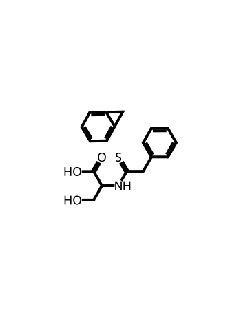 O=C(O)C(CO)NC(=S)Cc1ccccc1.c1ccc2c(c1)C2